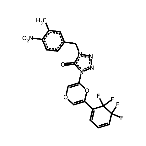 Cc1cc(Cn2nnn(C3=COC=C(C4=CC=CC(F)(F)C4(F)F)O3)c2=O)ccc1[N+](=O)[O-]